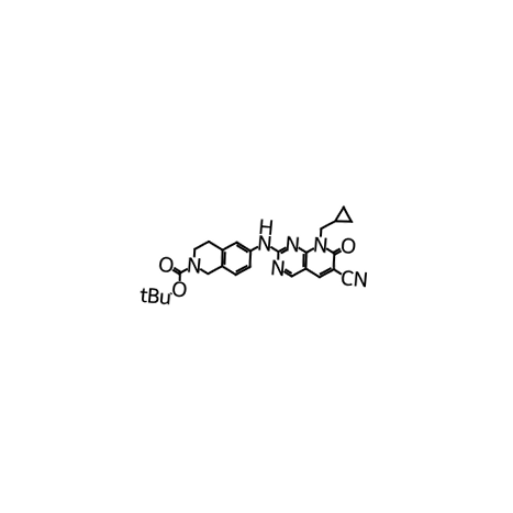 CC(C)(C)OC(=O)N1CCc2cc(Nc3ncc4cc(C#N)c(=O)n(CC5CC5)c4n3)ccc2C1